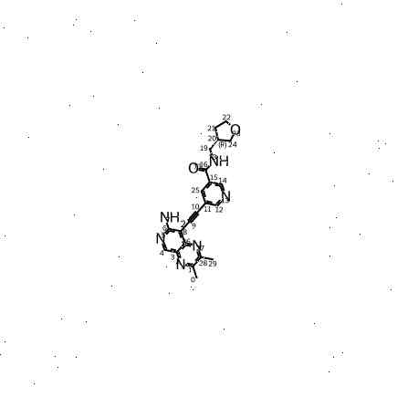 Cc1nc2cnc(N)c(C#Cc3cncc(C(=O)NC[C@H]4CCOC4)c3)c2nc1C